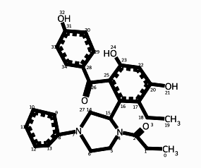 CCC(=O)N1CCN(c2ccccc2)CC1c1c(CC)c(O)cc(O)c1C(=O)c1ccc(O)cc1